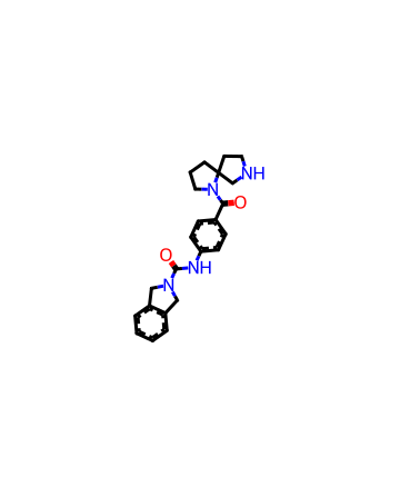 O=C(Nc1ccc(C(=O)N2CCCC23CCNC3)cc1)N1Cc2ccccc2C1